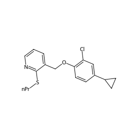 CCCSc1ncccc1COc1ccc(C2CC2)cc1Cl